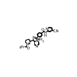 CC(C)C(=O)N1CCCC(C2=C3C=NC=C[N+]3(N)C(c3ccc(C(=O)Nc4cc(C#N)ccn4)cc3)=N2)C1